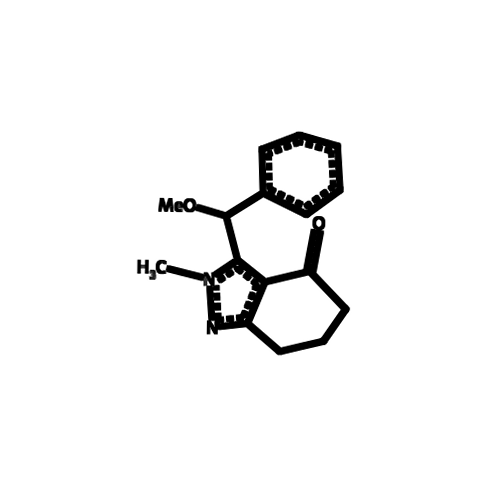 COC(c1ccccc1)c1c2c(nn1C)CCCC2=O